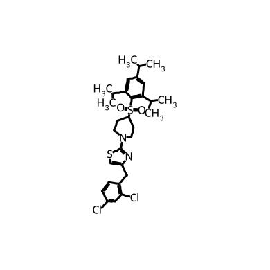 CC(C)c1cc(C(C)C)c(S(=O)(=O)C2CCN(c3nc(Cc4ccc(Cl)cc4Cl)cs3)CC2)c(C(C)C)c1